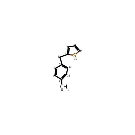 Cc1ccc(Cc2cc[c]s2)cc1